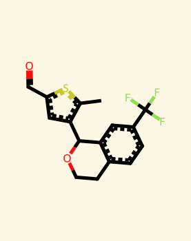 Cc1sc(C=O)cc1C1OCCc2ccc(C(F)(F)F)cc21